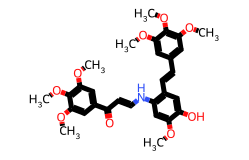 COc1cc(NC=CC(=O)c2cc(OC)c(OC)c(OC)c2)c(C=Cc2cc(OC)c(OC)c(OC)c2)cc1O